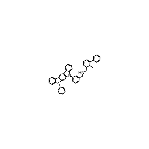 CC1C(c2ccccc2)=CC=CC1CNCc1cccc(-n2c3ccccc3c3cc4c5ccccc5n(-c5ccccc5)c4cc32)c1